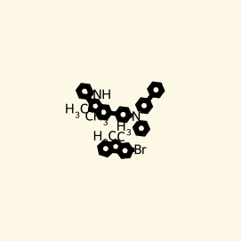 CC1(C)c2ccc(-c3ccc(N(c4ccccc4)c4ccc(-c5ccccc5)cc4)cc3)cc2-c2[nH]c3ccccc3c21.CC1(C)c2ccccc2-c2ccc(Br)cc21